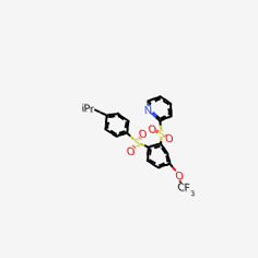 CC(C)c1ccc(S(=O)(=O)c2ccc(OC(F)(F)F)cc2S(=O)(=O)c2ccccn2)cc1